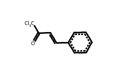 O=C(C=Cc1ccccc1)C(Cl)(Cl)Cl